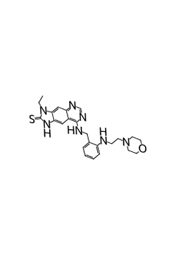 CCn1c(=S)[nH]c2cc3c(NCc4ccccc4NCCN4CCOCC4)ncnc3cc21